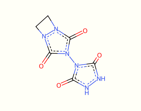 O=c1[nH][nH]c(=O)n1-n1c(=O)n2n(c1=O)CC2